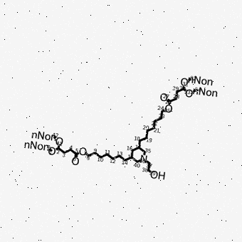 CCCCCCCCCOC(CCC(=O)OCCCCCCCC1CC(CCCCCCCOC(=O)CCC(OCCCCCCCCC)OCCCCCCCCC)CN(CCO)C1)OCCCCCCCCC